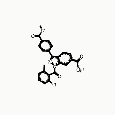 COC(=O)c1ccc(-c2nn(C(=O)c3c(C)cccc3Cl)c3cc(C(=O)O)ccc23)cc1